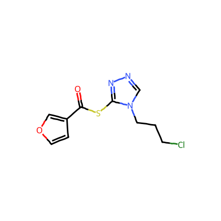 O=C(Sc1nncn1CCCCl)c1ccoc1